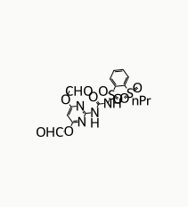 CCCS(=O)(=O)c1ccccc1S(=O)(=O)NC(=O)Nc1nc(OC=O)cc(OC=O)n1